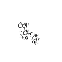 CC(C)[C@](C)(O[Si](C)(C)C)[C@@H]1CN(c2nc(-c3n[nH]c4ncccc34)c(F)c([Si](C)(C)C(C)(C)C)c2Cl)CCN1